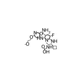 COCCOc1cc(Nc2nc(N[C@H](C3CCC3)[C@H](C)NC(=O)O)c(F)cc2C(N)=O)ccn1